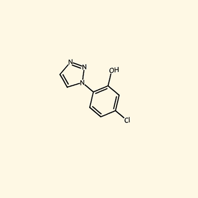 Oc1cc(Cl)ccc1-n1ccnn1